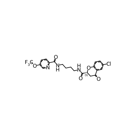 O=C(NCCCCNC(=O)[C@@H]1CC(=O)c2cc(Cl)ccc2O1)c1ccc(OC(F)(F)F)cn1